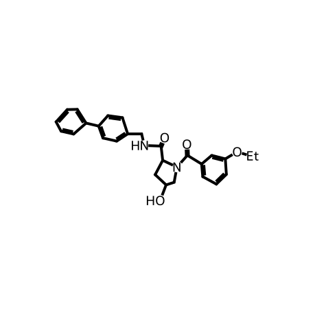 CCOc1cccc(C(=O)N2CC(O)CC2C(=O)NCc2ccc(-c3ccccc3)cc2)c1